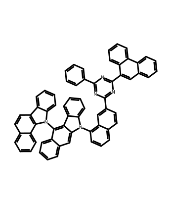 c1ccc(-c2nc(-c3ccc4cccc(-n5c6ccccc6c6c(-n7c8ccccc8c8ccc9ccccc9c87)c7ccccc7cc65)c4c3)nc(-c3cc4ccccc4c4ccccc34)n2)cc1